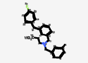 Cc1cccc(CN(CCC(=O)O)Cc2cccc(Cc3ccc(F)cc3)c2)c1